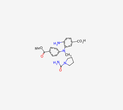 COC(=O)c1ccc(N(C)c2cc(C(=O)O)ccc2N)cc1.NC(=O)N1CCCC1